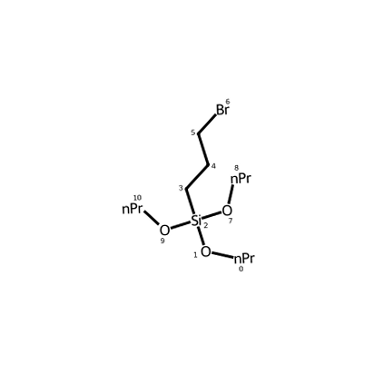 CCCO[Si](CCCBr)(OCCC)OCCC